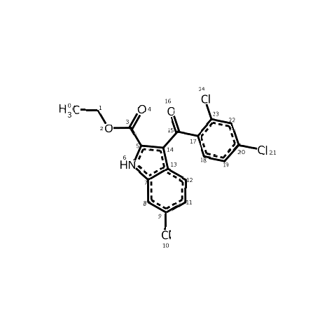 CCOC(=O)c1[nH]c2cc(Cl)ccc2c1C(=O)c1ccc(Cl)cc1Cl